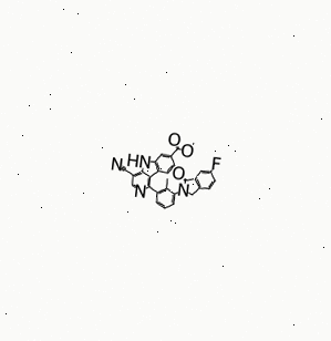 COC(=O)c1ccc2c(c1)[nH]c1c(C#N)cnc(-c3cccc(N4Cc5ccc(F)cc5C4=O)c3C)c12